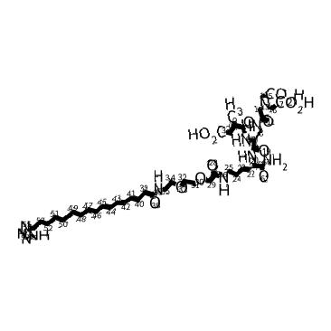 C[C@@H](CC(=O)O)C(=O)N[C@@H](CNC(=O)CN(CC(=O)O)CC(=O)O)C(=O)N[C@@H](CCCCNC(=O)COCCOCCNC(=O)CCCCCCCCCCCCCCCc1nnn[nH]1)C(N)=O